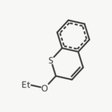 CCOC1C=Cc2ccccc2S1